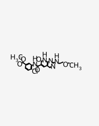 CCOCCNc1ncc2cc(C(=O)Nc3cc(C(=O)OC)ccc3Cl)c(=O)[nH]c2n1